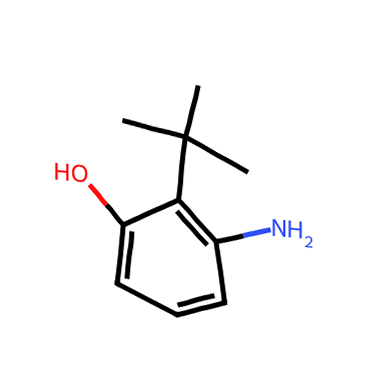 CC(C)(C)c1c(N)cccc1O